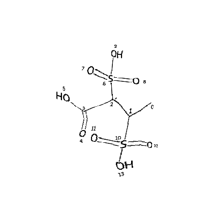 CC([C](C(=O)O)S(=O)(=O)O)S(=O)(=O)O